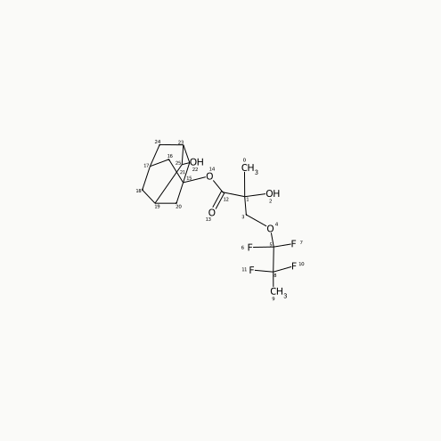 CC(O)(COC(F)(F)C(C)(F)F)C(=O)OC12CC3CC(C1)C(O)C(C3)C2